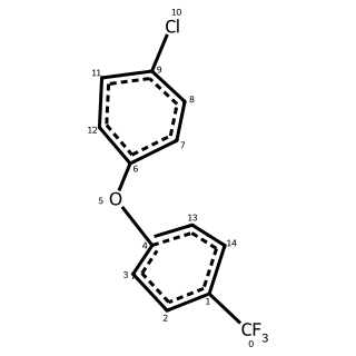 FC(F)(F)c1c[c]c(Oc2ccc(Cl)cc2)cc1